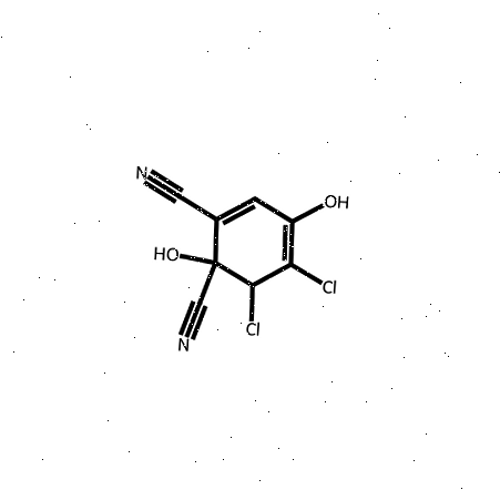 N#CC1=CC(O)=C(Cl)C(Cl)C1(O)C#N